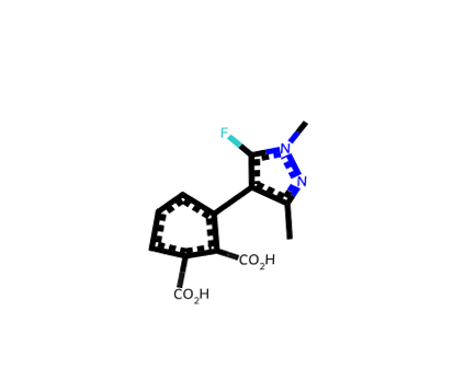 Cc1nn(C)c(F)c1-c1cccc(C(=O)O)c1C(=O)O